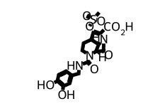 CS(=O)(=O)OC1=C(C(=O)O)N2C(=O)[C@@H]3[C@H]2C1CCN3C(=O)NCc1ccc(O)c(O)c1